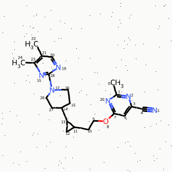 Cc1nc(C#N)cc(OCCC2CC2C2CCN(c3ncc(C)c(C)n3)CC2)n1